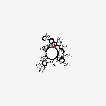 CC[C@H]1OC(=O)[C@H](C)[C@@H](O[C@H]2C[C@@](C)(OC)[C@@H](O)[C@H](C)O2)[C@H](C)[C@@H](O[C@@H]2O[C@H](C)C[C@H](N(C)CCC3=CN([C@H](CF)[C@H](OC)c4ccc(N5CCCS5(=O)=O)cc4)NN3)[C@H]2O)[C@](C)(O)C[C@@H](C)CN(C)[C@H](C)[C@@H](O)[C@]1(C)O